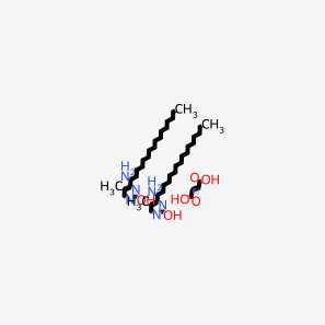 CCCCCCCCCCCCCCCC(N)c1nc(O)ncc1C.CCCCCCCCCCCCCCCC(N)c1nc(O)ncc1C.O=C(O)/C=C/C(=O)O